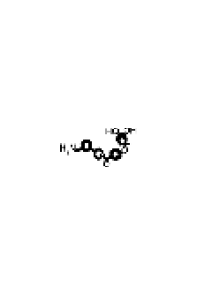 C[C@@]1(Oc2ccc(C(=O)N3CCC(c4cccc(CN)c4)CC3)cc2)CC2CC1[C@H](O)[C@@H]2O